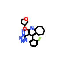 Fc1ccccc1-c1c2c(nc(OC3CCOC3)c1-c1nnn[nH]1)CCCCC2